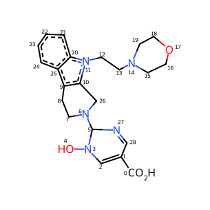 O=C(O)C1=CN(O)C(N2CCc3c(n(CCN4CCOCC4)c4ccccc34)C2)N=C1